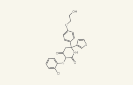 O=C1CC(c2ccc(OCCO)cc2)(c2ccsc2)NC(=O)C1Sc1ccccc1Cl